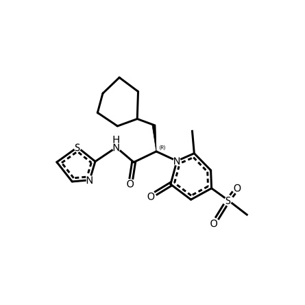 Cc1cc(S(C)(=O)=O)cc(=O)n1[C@H](CC1CCCCC1)C(=O)Nc1nccs1